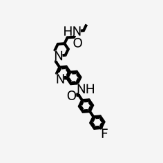 CCNC(=O)CC1CCN(Cc2cnc3cc(NC(=O)c4ccc(-c5ccc(F)cc5)cc4)ccc3c2)CC1